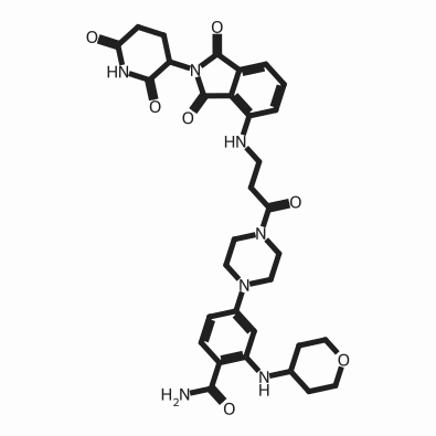 NC(=O)c1ccc(N2CCN(C(=O)CCNc3cccc4c3C(=O)N(C3CCC(=O)NC3=O)C4=O)CC2)cc1NC1CCOCC1